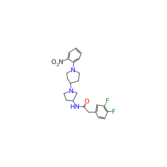 O=C(Cc1ccc(F)c(F)c1)NC1CCN(C2CCN(c3ccccc3[N+](=O)[O-])CC2)C1